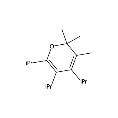 CC1=C(C(C)C)C(C(C)C)=C(C(C)C)OC1(C)C